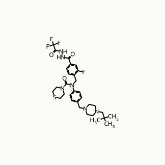 CC(C)(C)CN1CCN(Cc2ccc(N(Cc3ccc(C(=O)NNC(=O)C(F)(F)F)cc3F)C(=O)N3CCSCC3)cc2)CC1